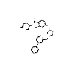 O=C1CCC(N2Cc3cc(O[C@H]4CCN(Cc5cc(-c6ccccc6)ccn5)C4)ccc3C2=O)C(=O)N1